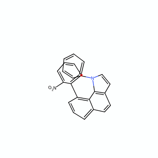 O=[N+]([O-])c1ccccc1-c1cccc2ccc3ccn(-c4ccccc4)c3c12